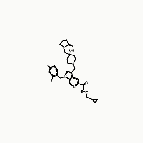 O=C(NOCC1CC1)c1cc2c(CN3CCC(O)(CN4CCCC4=O)CC3)cn(Cc3ccc(F)cc3F)c2cn1